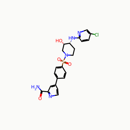 NC(=O)c1cc(-c2ccc(S(=O)(=O)N3CC[C@@H](Nc4ccc(Cl)cn4)[C@@H](O)C3)cc2)ccn1